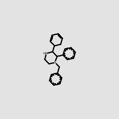 C1=CCC(C2NCCN(Cc3ccccc3)C2c2ccccc2)C=C1